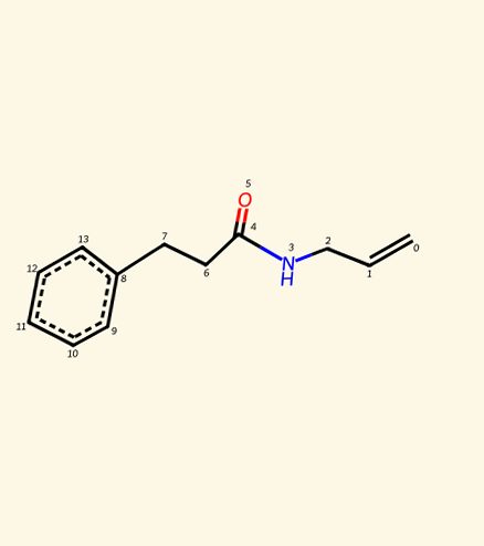 C=CCNC(=O)CCc1ccccc1